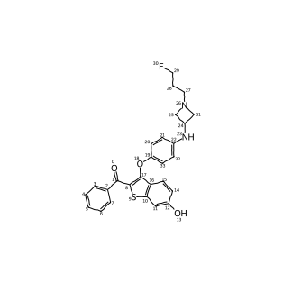 O=C(c1ccccc1)c1sc2cc(O)ccc2c1Oc1ccc(NC2CN(CCCF)C2)cc1